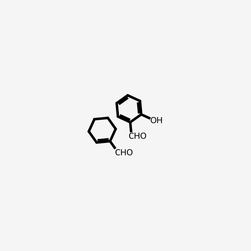 O=CC1=CCCCC1.O=Cc1ccccc1O